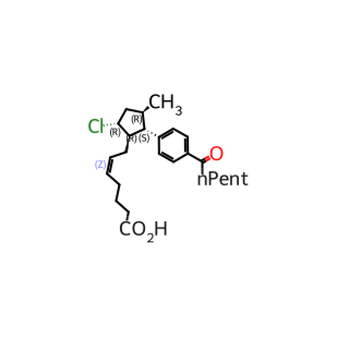 CCCCCC(=O)c1ccc([C@@H]2[C@@H](C/C=C\CCCC(=O)O)[C@H](Cl)C[C@H]2C)cc1